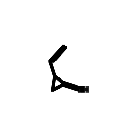 C=CC1CC1=N